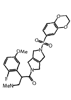 CNCC(C(=O)N1CC2=C(C1)CN(S(=O)(=O)c1ccc3c(c1)OCCO3)C2)c1cc(OC)ccc1F